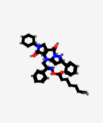 CCCCCCC(=O)ON=C(Cn1c2c(c(=O)n3nc(-c4ccccc4)cc13)CN(C1CCCCC1)C2=O)c1ccccc1